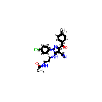 CC(=O)NCCCNc1c(C#N)c(C(=O)c2ccc(C)cc2)nn1-c1ccc(Cl)cc1